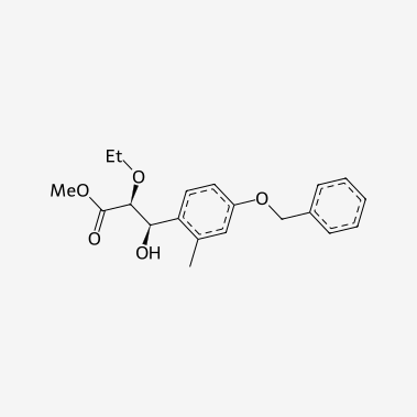 CCO[C@H](C(=O)OC)[C@H](O)c1ccc(OCc2ccccc2)cc1C